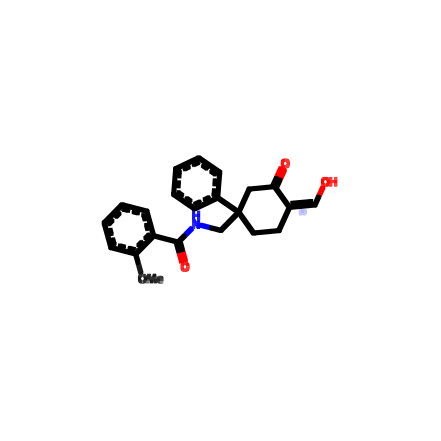 COc1ccccc1C(=O)NCC1(c2ccccc2)CC/C(=C/O)C(=O)C1